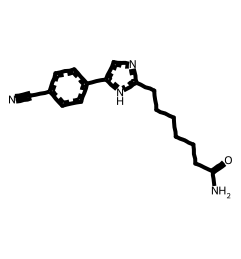 N#Cc1ccc(-c2cnc(CCCCCCC(N)=O)[nH]2)cc1